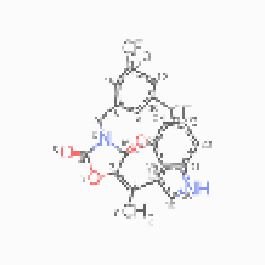 CC(=C1OC(=O)N(Cc2cc(C(F)(F)F)cc(C(F)(F)F)c2)C1=O)c1c[nH]c2ccccc12